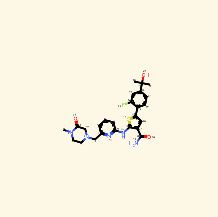 CN1CCN(Cc2cccc(Nc3sc(-c4ccc(C(C)(C)O)cc4F)cc3C(N)=O)n2)CC1=O